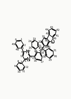 c1ccc(-c2cc(-c3ccccc3)nc(-c3cccc([Si](c4ccccc4)(c4ccccc4)c4ccc5c(c4)oc4ccccc45)c3)n2)cc1